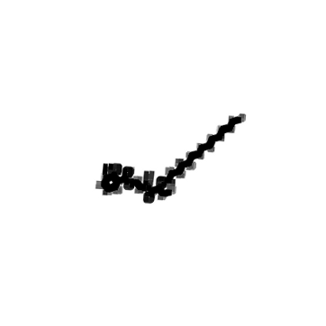 CCC=CCC=CCC=CCC=CCCOC(CC)C(=O)NCCOC(=O)c1ccccc1O